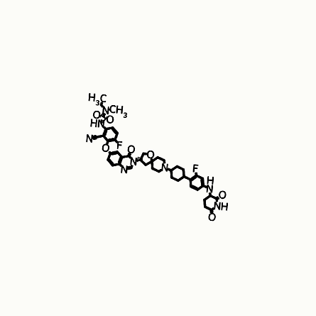 CCN(C)S(=O)(=O)Nc1ccc(F)c(Oc2ccc3ncn([C@H]4COC5(CCN(C6CCC(c7ccc(NC8CCC(=O)NC8=O)cc7F)CC6)CC5)C4)c(=O)c3c2)c1C#N